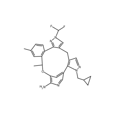 Cc1ccc2c(c1)C(C)Oc1cc(cnc1N)-c1c(cnn1CC1CC1)Cc1cn(C(F)F)nc1-2